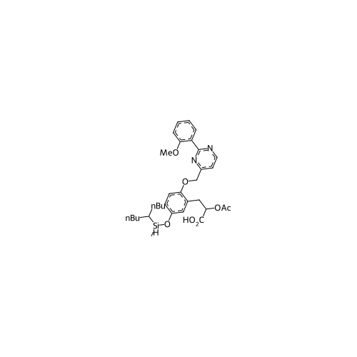 CCCCC(CCCC)[SiH](C)Oc1ccc(OCc2ccnc(-c3ccccc3OC)n2)c(CC(OC(C)=O)C(=O)O)c1